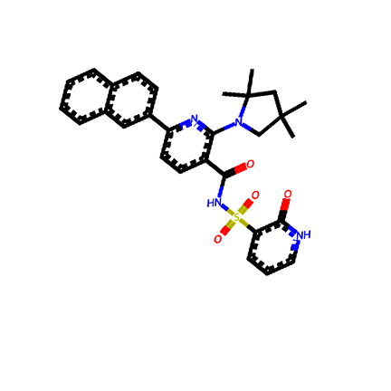 CC1(C)CN(c2nc(-c3ccc4ccccc4c3)ccc2C(=O)NS(=O)(=O)c2ccc[nH]c2=O)C(C)(C)C1